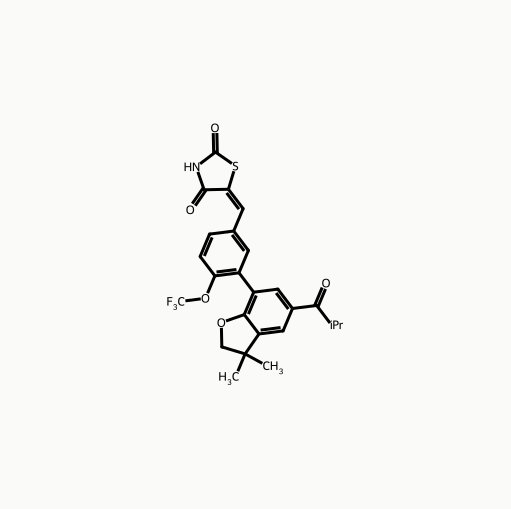 CC(C)C(=O)c1cc(-c2cc(/C=C3/SC(=O)NC3=O)ccc2OC(F)(F)F)c2c(c1)C(C)(C)CO2